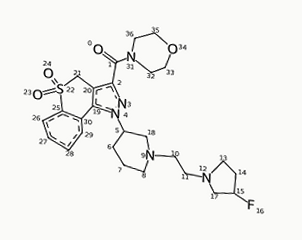 O=C(c1nn(C2CCCN(CCN3CCC(F)C3)C2)c2c1CS(=O)(=O)c1ccccc1-2)N1CCOCC1